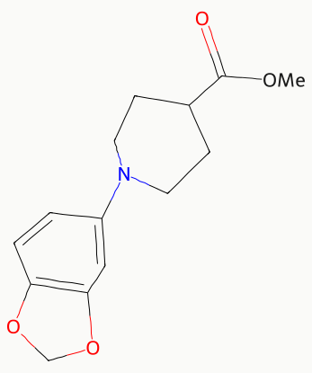 COC(=O)C1CCN(c2ccc3c(c2)OCO3)CC1